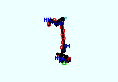 COC[C@H]1CN[C@H](C)CN1CC(=O)N1CC(C)(C)c2nc(CN(C)CCOCCOCCOCCOCCOCCNC(=O)CN3CCC(c4cc(OC(C)C)c(Nc5ncc(Cl)c(Nc6ccccc6S(=O)(=O)C(C)C)n5)cc4C)CC3)c(Cc3ccc(F)cc3)cc21